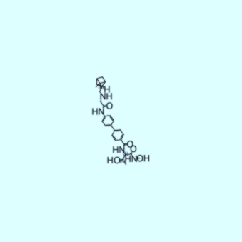 C[C@@H](O)[C@H](NC(=O)c1ccc(-c2ccc(NC(=O)CNC[C@@H]3CC4CC3C4(C)C)cc2)cc1)C(=O)NO